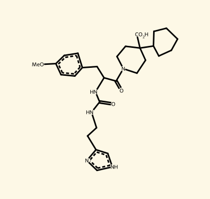 COc1ccc(CC(NC(=O)NCCc2c[nH]cn2)C(=O)N2CCC(C(=O)O)(C3CCCCC3)CC2)cc1